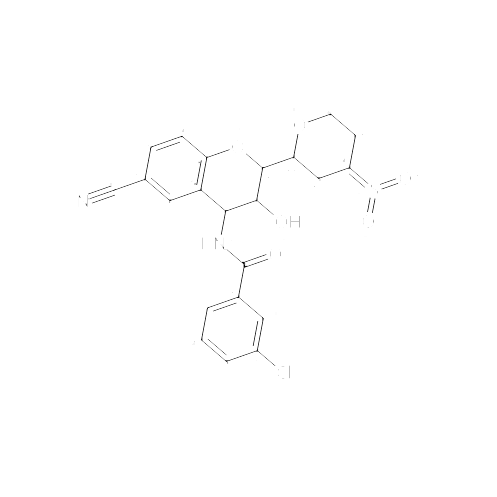 N#Cc1ccc2c(c1)C(NC(=O)c1cccc(Cl)c1)C(O)C(C1CC(=S(=O)=O)CCO1)O2